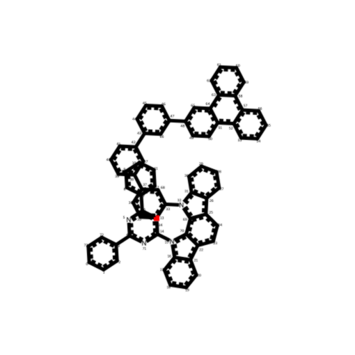 c1ccc(-c2nc(-c3ccccc3)nc(-n3c4ccccc4c4ccc5c6ccccc6n(-c6cccc(-c7cccc(-c8cccc(-c9ccc%10c%11ccccc%11c%11ccccc%11c%10c9)c8)c7)c6)c5c43)n2)cc1